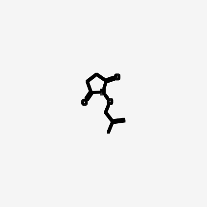 C=C(C)CON1C(=O)CCC1=O